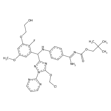 COc1cc(OCCO)c(F)c(C(Nc2ccc(C(N)=NC(=O)OCC(C)(C)C)cc2)c2nc(OCCl)n(-c3ncccn3)n2)c1